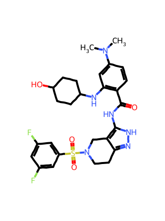 CN(C)c1ccc(C(=O)Nc2[nH]nc3c2CN(S(=O)(=O)c2cc(F)cc(F)c2)CC3)c(NC2CCC(O)CC2)c1